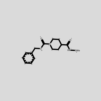 CSNC(=O)C1CCN(C(=O)OCc2ccccc2)CC1